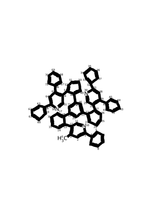 Cc1cc(-c2ccccc2)ncc1-c1ccccc1-c1cc(-c2ccccc2-c2cnc(-c3ccccc3)cc2-c2ccccc2)cc(-c2ccccc2-c2cnc(-c3ccccc3)cc2-c2ccccc2)c1